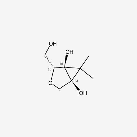 CC1(C)[C@]2(O)[CH]O[C@H](CO)[C@]12O